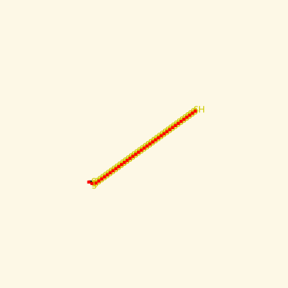 CCCS(=S)(=S)SSSSSSSSSSSSSSSSSSSSSSSSSSSSSSSSSSSSSSSSSSSSSSSSSSSSSSSSSSSSSSSSSSSSSSSS